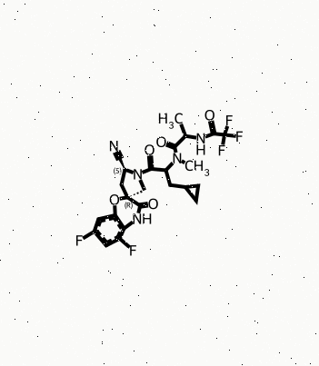 CC(NC(=O)C(F)(F)F)C(=O)N(C)C(CC1CC1)C(=O)N1C[C@@]2(C[C@H]1C#N)Oc1cc(F)cc(F)c1NC2=O